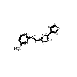 Cc1ccnc(SCc2nc(-c3ccoc3)no2)n1